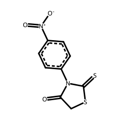 O=C1CSC(=S)N1c1ccc([N+](=O)[O-])cc1